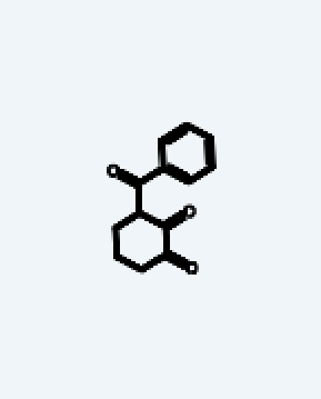 O=C1CCCC(C(=O)c2ccccc2)C1=O